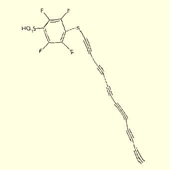 C#CC#CC#CC#CC#CC#CSc1c(F)c(F)c(S(=O)(=O)O)c(F)c1F